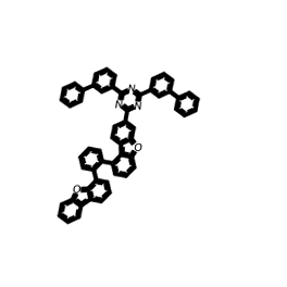 c1ccc(-c2cccc(-c3nc(-c4cccc(-c5ccccc5)c4)nc(-c4ccc5c(c4)oc4cccc(-c6ccccc6-c6cccc7c6oc6ccccc67)c45)n3)c2)cc1